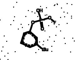 CC(C)(C)c1cccc(OP(=O)(O)OF)c1